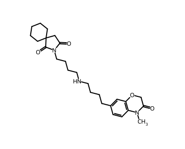 CN1C(=O)COc2cc(CCCCNCCCCN3C(=O)CC4(CCCCC4)C3=O)ccc21